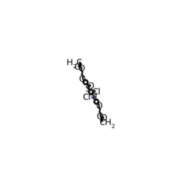 C=CC(=O)OCCCCOc1ccc(/C=N/c2c(Cl)cc(SC(=O)c3ccc(OCCCCOC(=O)C=C)cc3)cc2Cl)cc1